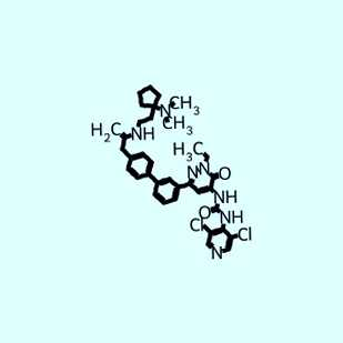 C=C(Cc1ccc(-c2cccc(-c3cc(NC(=O)Nc4c(Cl)cncc4Cl)c(=O)n(CC)n3)c2)cc1)NCCC1(N(C)C)CCCC1